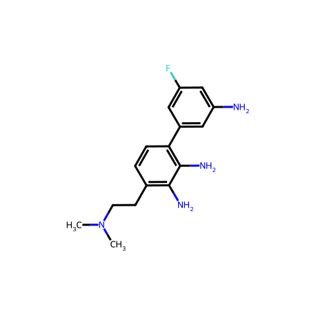 CN(C)CCc1ccc(-c2cc(N)cc(F)c2)c(N)c1N